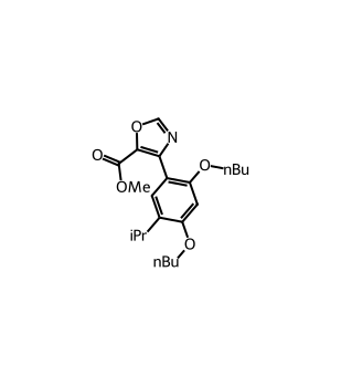 CCCCOc1cc(OCCCC)c(C(C)C)cc1-c1ncoc1C(=O)OC